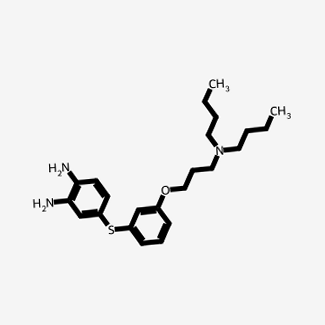 CCCCN(CCCC)CCCOc1cccc(Sc2ccc(N)c(N)c2)c1